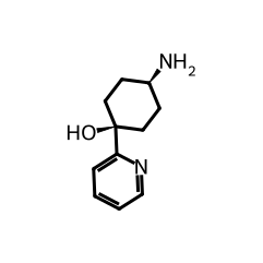 N[C@H]1CC[C@](O)(c2ccccn2)CC1